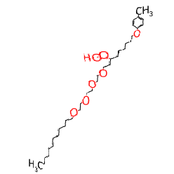 CCCCCCCCCCCCOCCOCCOCCOCCC(CCCCCCOc1ccc(C)cc1)OO